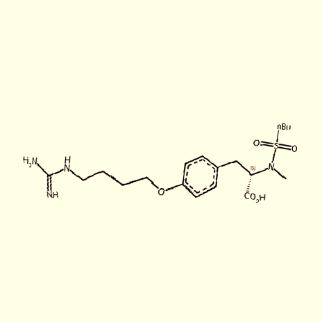 CCCCS(=O)(=O)N(C)[C@@H](Cc1ccc(OCCCCNC(=N)N)cc1)C(=O)O